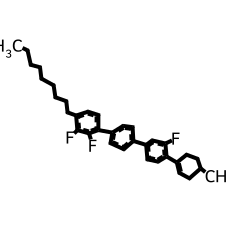 CCCCCCCCCc1ccc(-c2ccc(-c3ccc(C4=CCC(C)CC4)c(F)c3)cc2)c(F)c1F